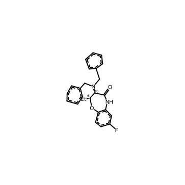 CC[C@@H]1Oc2ccc(F)cc2NC(=O)[C@@H]1N(Cc1ccccc1)Cc1ccccc1